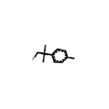 Cc1ccc(C(C)(C)CF)cc1